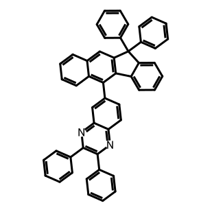 c1ccc(-c2nc3ccc(-c4c5c(cc6ccccc46)C(c4ccccc4)(c4ccccc4)c4ccccc4-5)cc3nc2-c2ccccc2)cc1